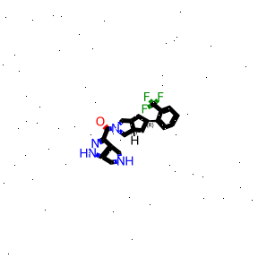 O=C(c1n[nH]c2c1CNC2)N1CC2C[C@@H](c3ccccc3C(F)(F)F)C[C@H]2C1